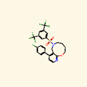 O=S(=O)(c1cc(C(F)(F)F)cc(C(F)(F)F)c1)N1CCCCOc2nccc(-c3ccc(F)cc3)c2C1